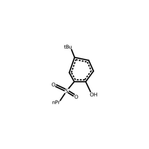 CCCS(=O)(=O)c1cc(C(C)(C)C)ccc1O